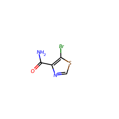 NC(=O)c1ncsc1Br